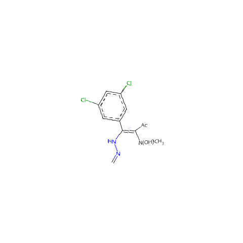 C=NN/C(=C(/C(C)=O)N(C)O)c1cc(Cl)cc(Cl)c1